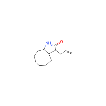 C=CCC(C=O)C1CCCCCCC1N